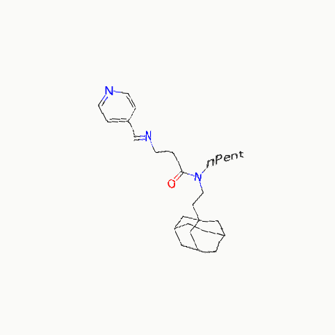 CCCCCN(CCC12CC3CC(CC(C3)C1)C2)C(=O)CCN=Cc1ccncc1